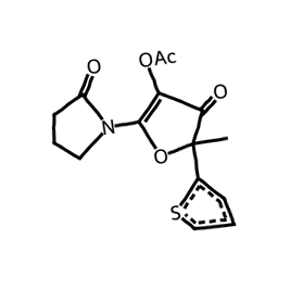 CC(=O)OC1=C(N2CCCC2=O)OC(C)(c2cccs2)C1=O